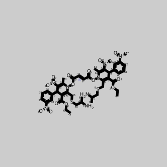 CCOC(=O)C1=C(CSCC(C)N)N(OC(=O)/C=C/C(=O)ON2C(C)=C([N+](=O)[O-])C(c3cccc([N+](=O)[O-])c3)C(C(=O)OCC)=C2CSCC(C)N)C(C)=C([N+](=O)[O-])C1c1cccc([N+](=O)[O-])c1